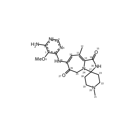 COc1c(N)ncnc1NC1=CC(C)=C2C(=O)NC3(CCN(C)CC3)N2CC1=O